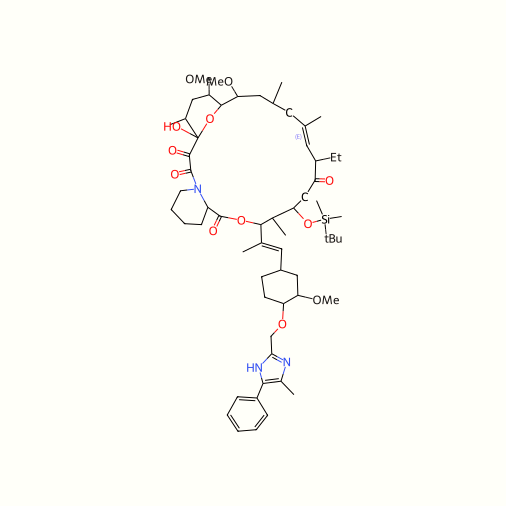 CCC1/C=C(\C)CC(C)CC(OC)C2OC(O)(C(=O)C(=O)N3CCCCC3C(=O)OC(C(C)=CC3CCC(OCc4nc(C)c(-c5ccccc5)[nH]4)C(OC)C3)C(C)C(O[Si](C)(C)C(C)(C)C)CC1=O)C(C)CC2OC